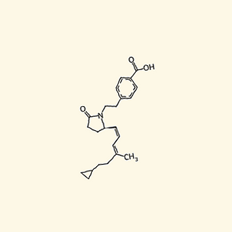 C/C(=C\C=C/[C@H]1CCC(=O)N1CCc1ccc(C(=O)O)cc1)CCC1CC1